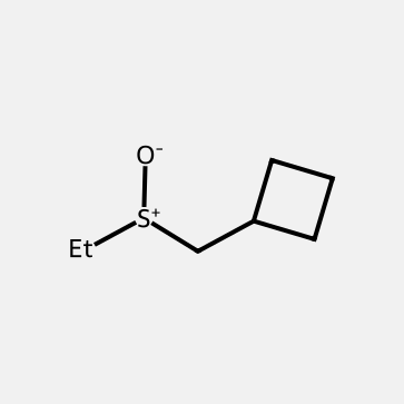 CC[S+]([O-])CC1CCC1